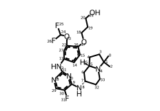 CC1(C)CC[C@H]2C[C@@H](Nc3nc(Nc4ccc(OCCCO)c(OC(F)F)c4)ncc3F)CCN21